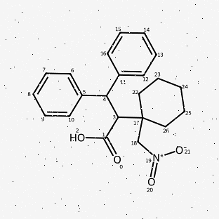 O=C(O)C(C(c1ccccc1)c1ccccc1)C1(C[N+](=O)[O-])CCCCC1